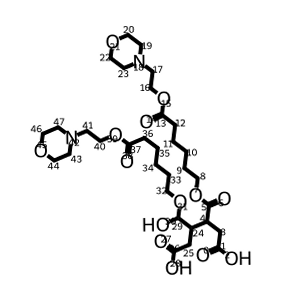 O=C(O)CC(C(=O)OCCCCCC(=O)OCCN1CCOCC1)C(CC(=O)O)C(O)OCCCCCC(=O)OCCN1CCOCC1